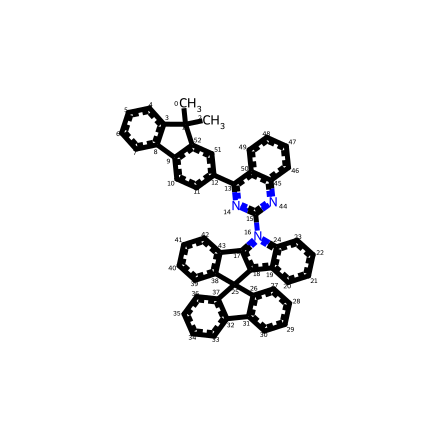 CC1(C)c2ccccc2-c2ccc(-c3nc(-n4c5c(c6ccccc64)C4(c6ccccc6-c6ccccc64)c4ccccc4-5)nc4ccccc34)cc21